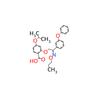 CCCON=C(COc1cc(OC(C)C)ccc1C(=O)O)c1cccc(Oc2ccccc2)c1